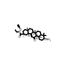 C#CON(CC)C(=O)[C@@]1(C)CC[C@]2(C)CC[C@]3(C)C(=CC(=O)[C@@H]4[C@@]5(C)CC[C@H](N)C(C)(C)C5CC[C@]43C)[C@@H]2C1